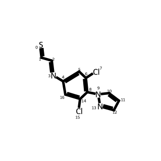 S=CC=Nc1cc(Cl)c(-n2cccn2)c(Cl)c1